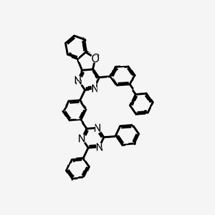 c1ccc(-c2cccc(-c3nc(-c4cccc(-c5nc(-c6ccccc6)nc(-c6ccccc6)n5)c4)nc4c3oc3ccccc34)c2)cc1